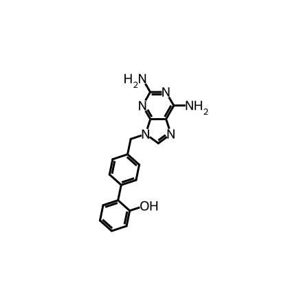 Nc1nc(N)c2ncn(Cc3ccc(-c4ccccc4O)cc3)c2n1